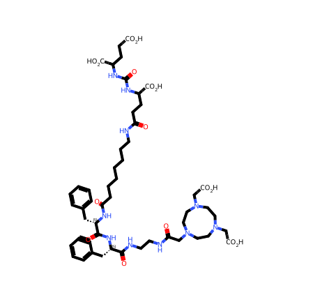 O=C(O)CCC(NC(=O)NC(CCC(=O)NCCCCCCCC(=O)N[C@@H](Cc1ccccc1)C(=O)N[C@@H](Cc1c#cccc1)C(=O)NCCNC(=O)CN1CCN(CC(=O)O)CCN(CC(=O)O)CC1)C(=O)O)C(=O)O